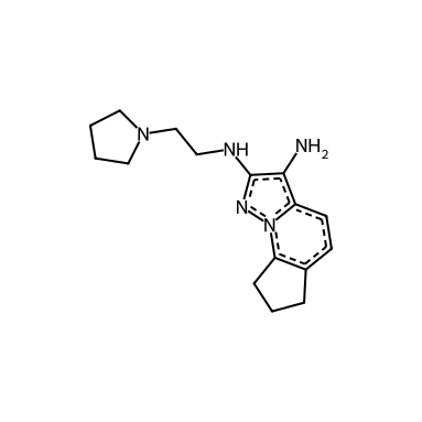 Nc1c(NCCN2CCCC2)nn2c3c(ccc12)CCC3